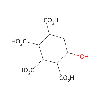 O=C(O)C1CC(O)C(C(=O)O)C(C(=O)O)C1C(=O)O